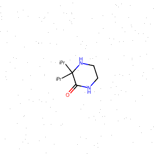 CC(C)C1(C(C)C)NCCNC1=O